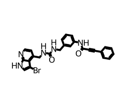 O=C(C#Cc1ccccc1)Nc1cccc(CNC(=O)NCc2ccnc3[nH]cc(Br)c23)c1